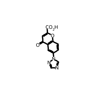 O=C(O)c1cc(=O)c2cc(-n3cncn3)ccc2o1